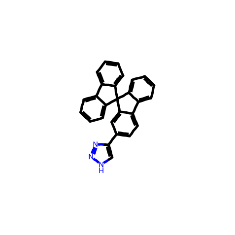 c1ccc2c(c1)-c1ccccc1C21c2ccccc2-c2ccc(-c3c[nH]nn3)cc21